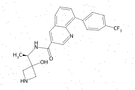 C[C@@H](NC(=O)c1cnc2c(-c3ccc(C(F)(F)F)cc3)cccc2c1)C1(O)CNC1